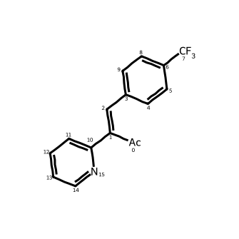 CC(=O)/C(=C\c1ccc(C(F)(F)F)cc1)c1ccccn1